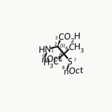 CCCCCCCCN[C@@H](C(=O)O)C(C)(C)SCCCCCCCC